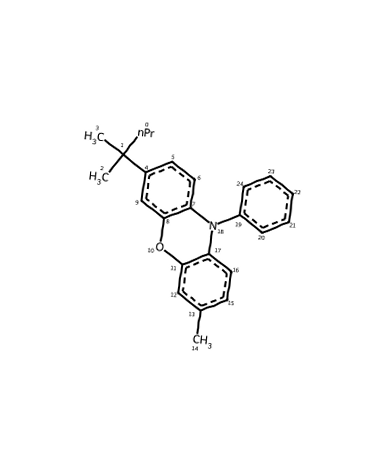 CCCC(C)(C)c1ccc2c(c1)Oc1cc(C)ccc1N2c1ccccc1